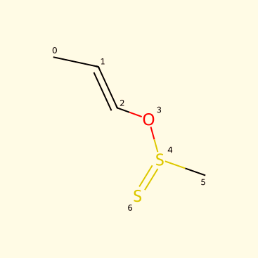 CC=COS(C)=S